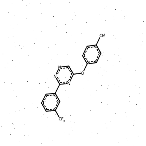 N#Cc1ccc(Oc2cnnc(-c3cccc(C(F)(F)F)c3)n2)cc1